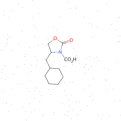 O=C(O)N1C(=O)OCC1CC1CCCCC1